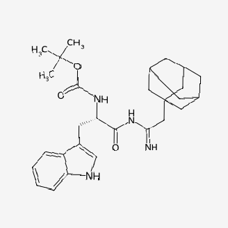 CC(C)(C)OC(=O)N[C@@H](Cc1c[nH]c2ccccc12)C(=O)NC(=N)CC12CC3CC(CC(C3)C1)C2